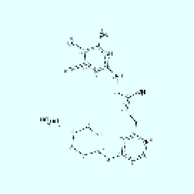 Cc1[nH]c(NC/C(O)=C/Cc2cc(CN3CCCCC3)ccn2)nc(=O)c1C.Cl.Cl